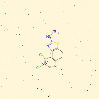 NNc1nc2c(s1)CCc1ccc(Cl)c(Cl)c1-2